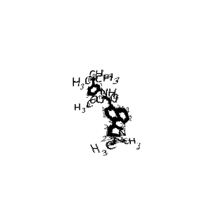 COc1ccc(C(C)(C)C)cc1NC(=O)C(=O)c1ccc(-c2ccc(N(C)C)nc2)c2ccccc12